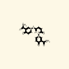 NC(=O)c1cn(OC(=O)/C=C\C(=O)On2ccc(=O)c(C(N)=O)c2)ccc1=O